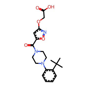 CC(C)(C)c1ccccc1N1CCN(C(=O)c2cc(OCC(=O)O)no2)CC1